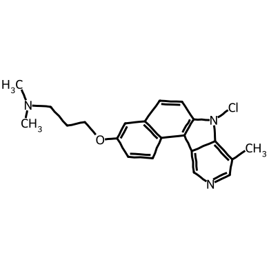 Cc1cncc2c3c4ccc(OCCCN(C)C)cc4ccc3n(Cl)c12